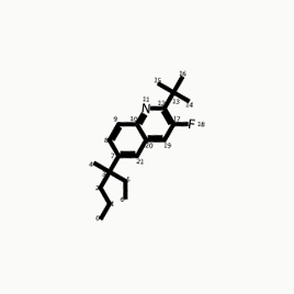 CCCC(C)(CC)c1ccc2nc(C(C)(C)C)c(F)cc2c1